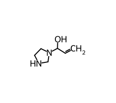 C=CC(O)N1CCNC1